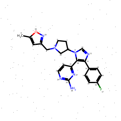 Cc1cc(CN2CCC(n3cnc(-c4ccc(F)cc4)c3-c3ccnc(N)n3)C2)no1